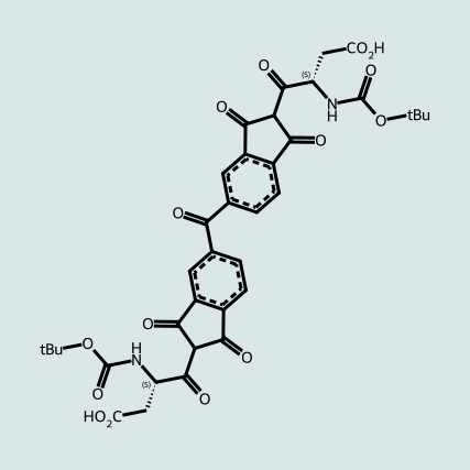 CC(C)(C)OC(=O)N[C@@H](CC(=O)O)C(=O)C1C(=O)c2ccc(C(=O)c3ccc4c(c3)C(=O)C(C(=O)[C@H](CC(=O)O)NC(=O)OC(C)(C)C)C4=O)cc2C1=O